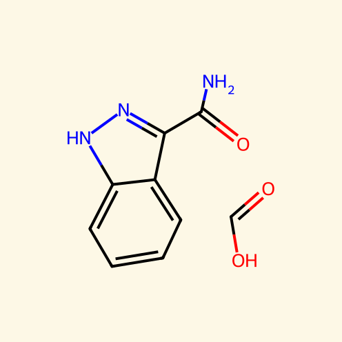 NC(=O)c1n[nH]c2ccccc12.O=CO